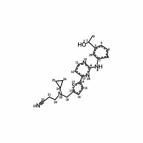 CC(O)c1cccc(Nc2nccc(-c3ccc(CN(CCC#N)C4CC4)s3)n2)c1